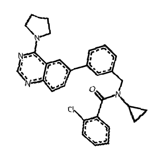 O=C(c1ccccc1Cl)N(Cc1cccc(-c2ccc3ncnc(N4CCCC4)c3c2)c1)C1CC1